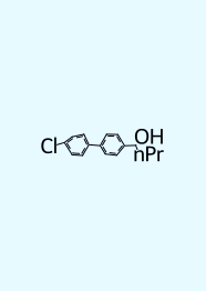 CCCC(O)c1ccc(-c2ccc(Cl)cc2)cc1